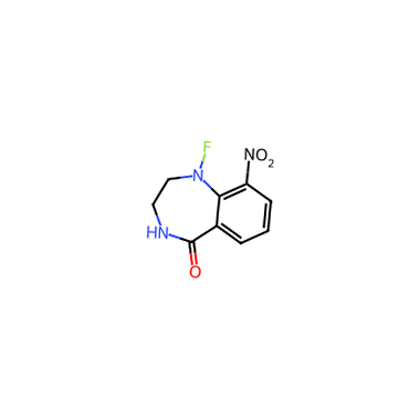 O=C1NCCN(F)c2c1cccc2[N+](=O)[O-]